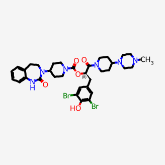 CN1CCN(C2CCN(C(=O)[C@@H](Cc3cc(Br)c(O)c(Br)c3)OC(=O)N3CCC(N4CCc5ccccc5NC4=O)CC3)CC2)CC1